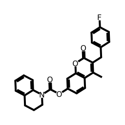 Cc1c(Cc2ccc(F)cc2)c(=O)oc2cc(OC(=O)N3CCCc4ccccc43)ccc12